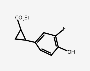 CCOC(=O)C1CC1c1ccc(O)c(F)c1